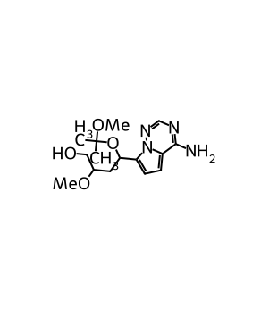 COC(CO)CC(OC(C)(C)OC)c1ccc2c(N)ncnn12